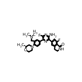 C[C@H]1CN(c2ccc(-c3nc(-c4cc(F)c5c(c4)CCNC5=O)c(N)nc3F)cc2CN(C)C)CCO1